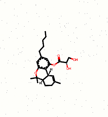 CCCCCc1cc(OC(=O)[C@H](O)CO)c2c(c1)OC(C)(C)[C@@H]1CCC(C)=C[C@@H]21